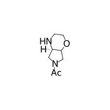 CC(=O)N1CC2OCCN[C@@H]2C1